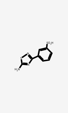 Nc1nc(-c2cccc(S(=O)(=O)O)c2)ns1